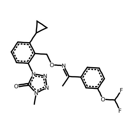 CC(=NOCc1c(C2CC2)cccc1-n1nnn(C)c1=O)c1cccc(OC(F)F)c1